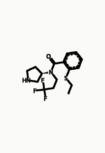 CCSc1ccccc1C(=O)N(CCC(F)(F)F)[C@H]1CCNC1